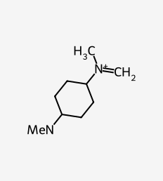 C=[N+](C)C1CCC(NC)CC1